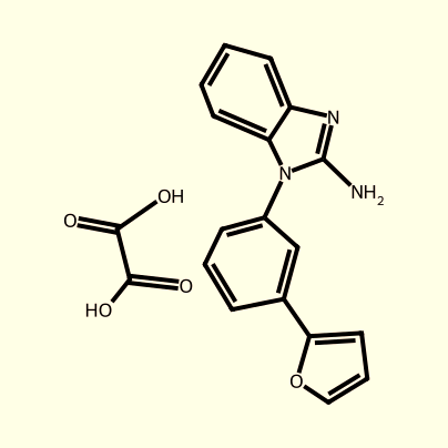 Nc1nc2ccccc2n1-c1cccc(-c2ccco2)c1.O=C(O)C(=O)O